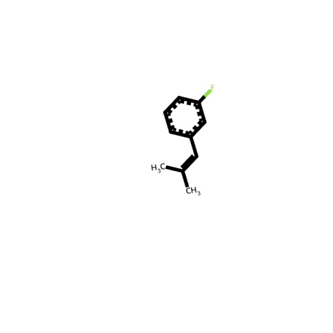 CC(C)=Cc1cccc(F)c1